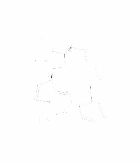 CN(CCN(C)C[C@H]1O[C@@H](n2cnc3c(N)ncnc32)[C@H](O)[C@@H]1O)Cc1ccccc1Cl